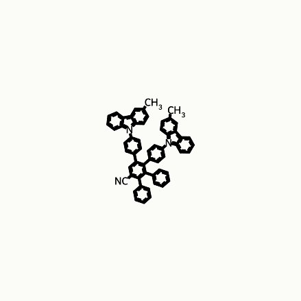 Cc1ccc2c(c1)c1ccccc1n2-c1ccc(-c2cc(C#N)c(-c3ccccc3)c(-c3ccccc3)c2-c2ccc(-n3c4ccccc4c4cc(C)ccc43)cc2)cc1